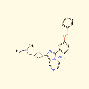 CN(C)CC1CC(C2=C3C=NC=C[N+]3(N)C(c3cccc(OCc4ccccc4)c3)=N2)C1